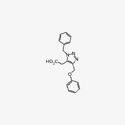 O=C(O)Cc1c(COc2ccccc2)nnn1Cc1ccccc1